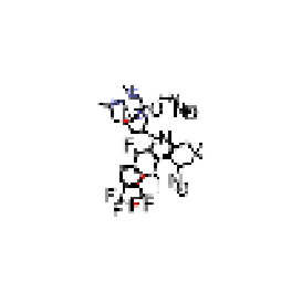 C\C1=C(N2CCC(c3nc4c(c(C5CCC(F)(F)CC5)c3C(F)c3ccc(C(F)(F)F)cc3)C(N=O)CC(C)(C)C4)CC2)/N=C\C(OC[C@H](C)N=O)=C/CC1